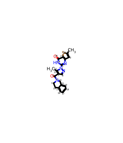 Cc1cc2nc(-n3ncc(C(=O)N4CCc5ccccc5C4)c3C)[nH]c(=O)c2s1